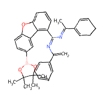 C=C(/N=C(\N=C(/C)C1=CCCC=C1)c1cccc2oc3ccc(B4OC(C)(C)C(C)(C)O4)cc3c12)c1ccccc1